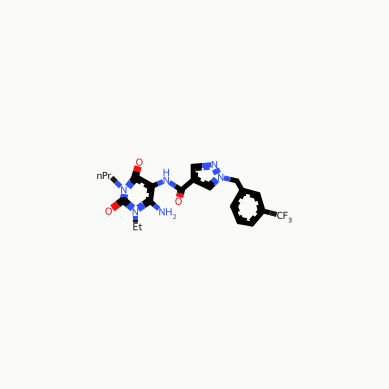 CCCn1c(=O)c(NC(=O)c2cnn(Cc3cccc(C(F)(F)F)c3)c2)c(N)n(CC)c1=O